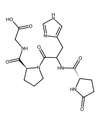 O=C(O)CNC(=O)[C@@H]1CCCN1C(=O)C(Cc1c[nH]cn1)NC(=O)[C@@H]1CCC(=O)N1